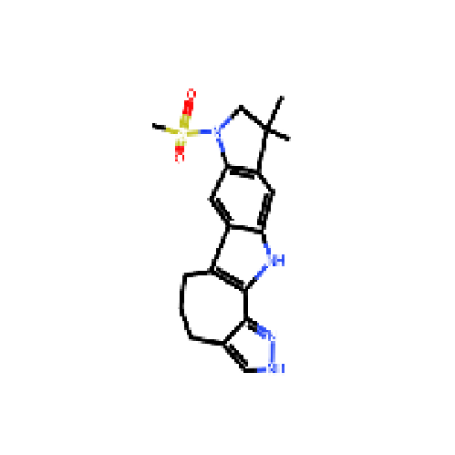 CC1(C)CN(S(C)(=O)=O)c2cc3c4c([nH]c3cc21)-c1n[nH]cc1CCC4